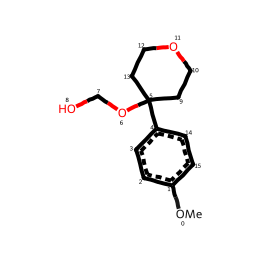 COc1ccc(C2(OCO)CCOCC2)cc1